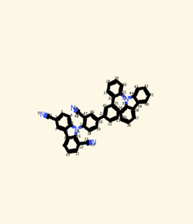 N#Cc1ccc2c(c1)c1cccc(C#N)c1n2-c1ccc(-c2cccc(-c3ccccc3-n3c4ccccc4c4ccccc43)c2)cc1C#N